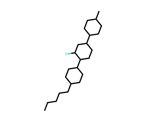 CCCCCC1CCC(C2CCC(C3CCC(C)CC3)CC2F)CC1